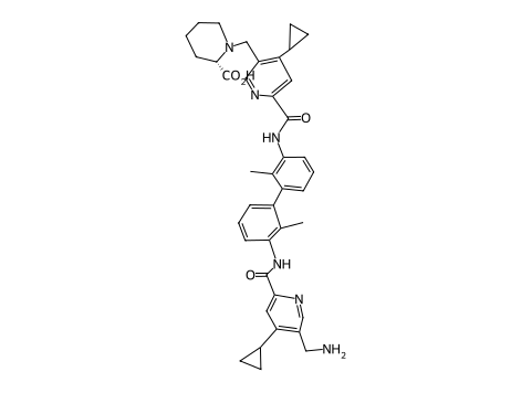 Cc1c(NC(=O)c2cc(C3CC3)c(CN)cn2)cccc1-c1cccc(NC(=O)c2cc(C3CC3)c(CN3CCCC[C@H]3C(=O)O)cn2)c1C